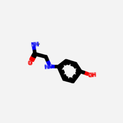 [NH]C(=O)CNc1ccc(O)cc1